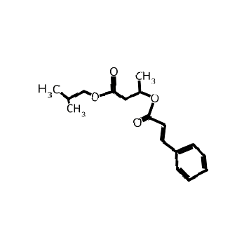 CC(C)COC(=O)CC(C)OC(=O)C=Cc1ccccc1